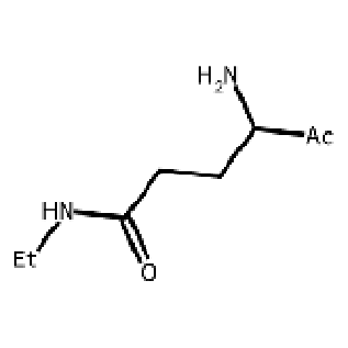 CCNC(=O)CCC(N)C(C)=O